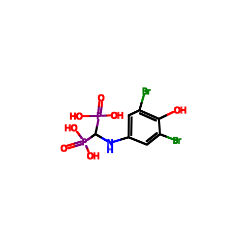 O=P(O)(O)C(Nc1cc(Br)c(O)c(Br)c1)P(=O)(O)O